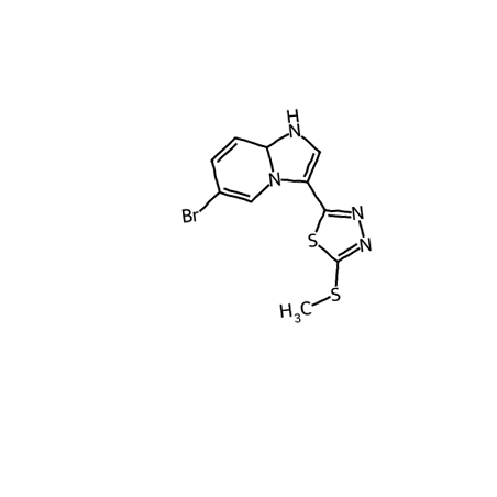 CSc1nnc(C2=CNC3C=CC(Br)=CN23)s1